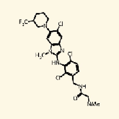 CNCC(=O)NCc1ccc(Cl)c(Nc2nc3cc(Cl)c(N4CCCC(C(F)(F)F)C4)cc3n2C)c1Cl